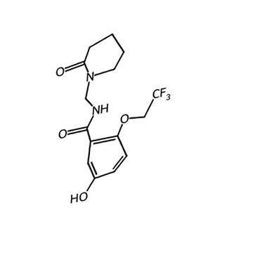 O=C(NCN1CCCCC1=O)c1cc(O)ccc1OCC(F)(F)F